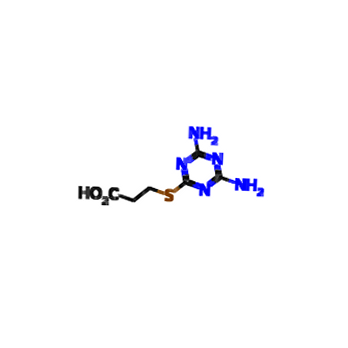 Nc1nc(N)nc(SCCC(=O)O)n1